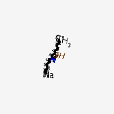 CCCCCCCCCCCC[CH2][Na].N#CS